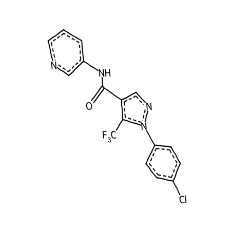 O=C(Nc1cccnc1)c1cnn(-c2ccc(Cl)cc2)c1C(F)(F)F